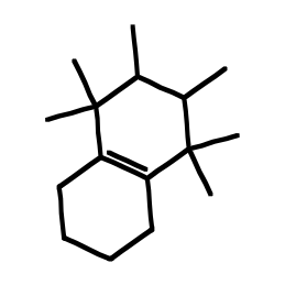 CC1C(C)C(C)(C)C2=C(CCCC2)C1(C)C